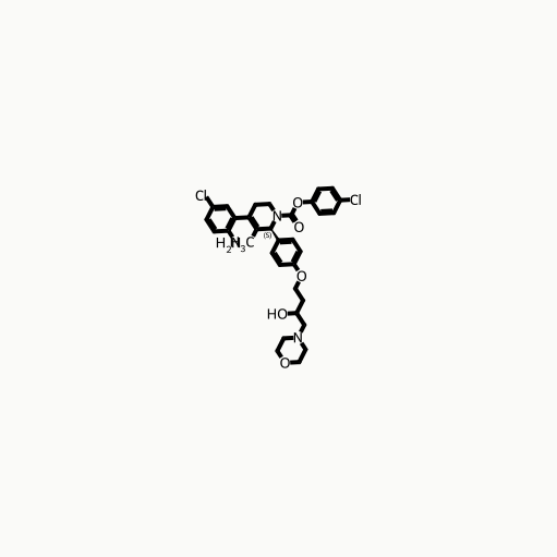 CC1=C(c2cc(Cl)ccc2N)CCN(C(=O)Oc2ccc(Cl)cc2)[C@H]1c1ccc(OCCC(O)CN2CCOCC2)cc1